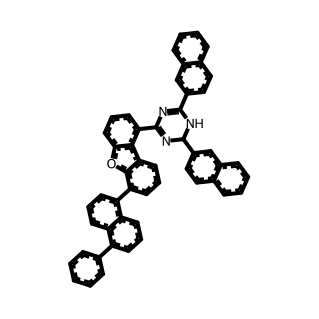 c1ccc(-c2cccc3c(-c4cccc5c4oc4cccc(C6=NC(c7ccc8ccccc8c7)NC(c7ccc8ccccc8c7)=N6)c45)cccc23)cc1